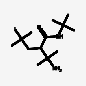 CC(C)(I)CC(C(=O)NC(C)(C)C)C(C)(C)N